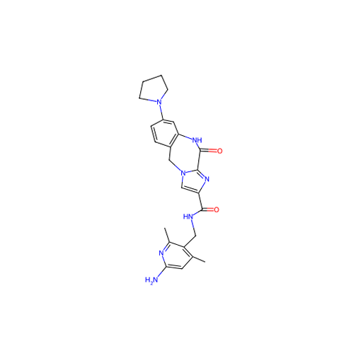 Cc1cc(N)nc(C)c1CNC(=O)c1cn2c(n1)C(=O)Nc1cc(N3CCCC3)ccc1C2